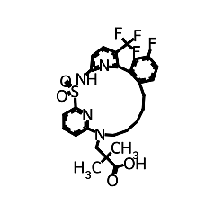 CC(C)(CN1CCCCCc2ccc(F)cc2-c2nc(ccc2C(F)(F)F)NS(=O)(=O)c2cccc1n2)C(=O)O